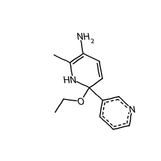 CCOC1(c2cccnc2)C=CC(N)=C(C)N1